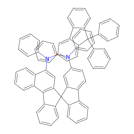 c1ccc(N(c2ccccc2)c2ccc3c(c2)C2(c4ccccc4-3)c3ccccc3-c3c2cc(N(c2ccccc2)c2ccc4c(c2)-c2ccccc2C4(c2ccccc2)c2ccccc2)c2ccccc32)cc1